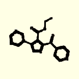 CCOC(=O)c1c(-c2cncnc2)csc1C(=O)c1ccncc1